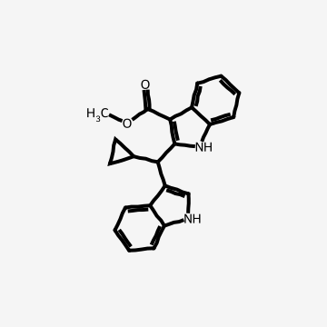 COC(=O)c1c(C(c2c[nH]c3ccccc23)C2CC2)[nH]c2ccccc12